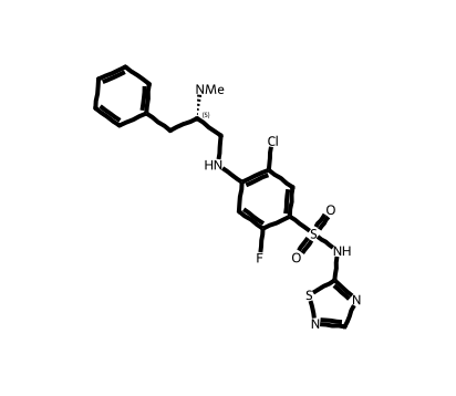 CN[C@H](CNc1cc(F)c(S(=O)(=O)Nc2ncns2)cc1Cl)Cc1ccccc1